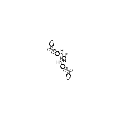 O=C(c1cc2cc(Nc3ncc(F)c(Nc4ccc5oc(C(=O)N6CCOCC6)cc5c4)n3)ccc2o1)N1CCOCC1